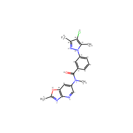 Cc1nc2ncc(N(C)C(=O)c3cccc(-n4nc(C(F)(F)F)c(Cl)c4C)c3)cc2o1